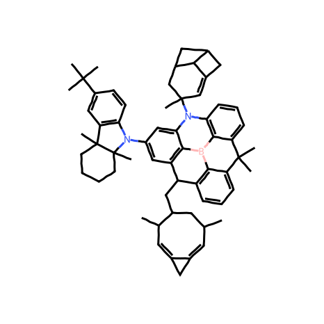 CC1/C=C2/C/C2=C/C(C)C(CC2c3cc(N4c5ccc(C(C)(C)C)cc5C5(C)CCCCC45C)cc4c3B3c5c2cccc5C(C)(C)c2cccc(c23)N4C2(C)C=C3CC4CC(C2)C34)C1